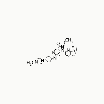 C=CCn1c(=O)c2cnc(Nc3ccc(N4CCN(C)CC4)cc3)nc2n1-c1ccc2c(n1)C(F)(I)CC2